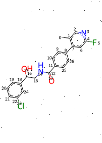 Cc1cnc(F)cc1-c1ccc(C(=O)NCC(O)c2cccc(Cl)c2)cc1